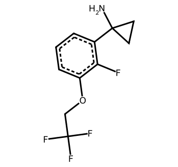 NC1(c2cccc(OCC(F)(F)F)c2F)CC1